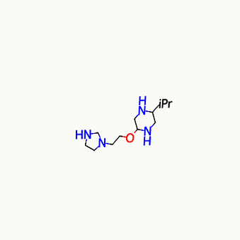 CC(C)C1CNC(OCCN2CCNC2)CN1